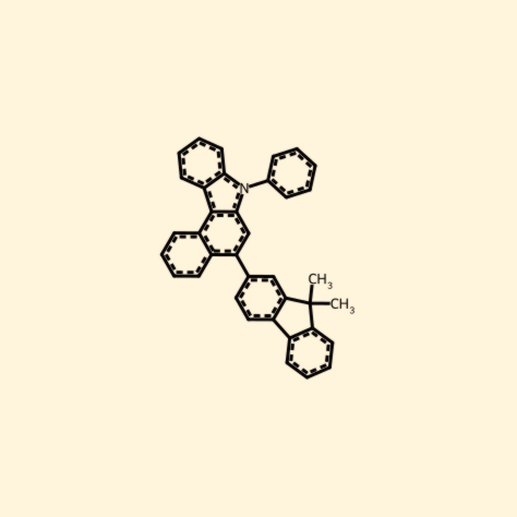 CC1(C)c2ccccc2-c2ccc(-c3cc4c(c5ccccc35)c3ccccc3n4-c3ccccc3)cc21